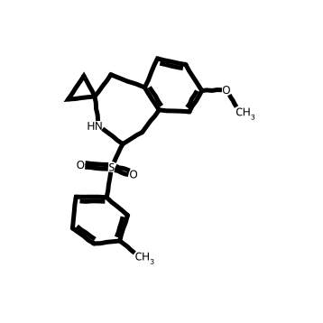 COc1ccc2c(c1)CC(S(=O)(=O)c1cccc(C)c1)NC1(CC1)C2